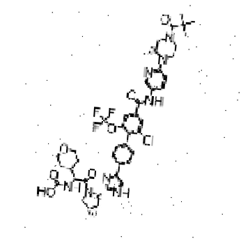 C[C@H]1C[C@@H](c2nc(-c3ccc(-c4c(Cl)cc(C(=O)Nc5ccc(N6CCN(C(=O)C(C)(C)C)C[C@H]6C)nc5)cc4OC(F)(F)F)cc3)c[nH]2)N(C(=O)C(NC(=O)O)C2CCOCC2)C1